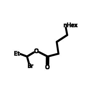 CCCCCCCCCC(=O)OC(Br)CC